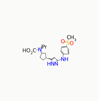 CC(C)N(C(=O)O)[C@@H]1CC[C@H](c2cc(Nc3ccc(S(C)(=O)=O)cc3)n[nH]2)C1